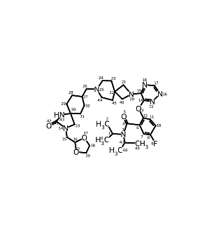 CC(C)N(C(=O)c1cc(F)ccc1Oc1nncnc1N1CC2(CCN(CC3CCC4(CC3)CN(CC3OCCO3)C(=O)N4)CC2)C1)C(C)C